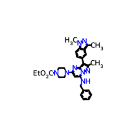 CCOC(=O)N1CCN(c2cc(NCc3ccccc3)n3nc(C)c(-c4ccc5c(c4)c(C)nn5C)c3n2)CC1